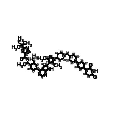 Cc1cc(-c2ncnc3[nH]c(-c4c(C)nn(C5CCN(CC6CCN(c7ccc(N8CCC(=O)NC8=O)cc7)CC6)CC5)c4C)cc23)ccc1[C@@H](C)NC(=O)c1nc(C(C)(C)C)no1